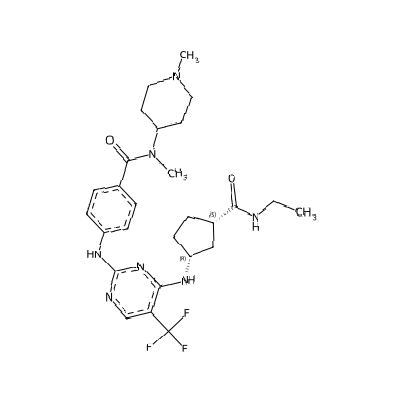 CCNC(=O)[C@H]1CC[C@@H](Nc2nc(Nc3ccc(C(=O)N(C)C4CCN(C)CC4)cc3)ncc2C(F)(F)F)C1